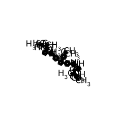 COC(=O)N[C@H](C(=O)N1CCC[C@H]1c1cc(-c2ccc([C@H]3CC[C@H](c4ccc(-c5cc([C@@H]6CCCN6C(=O)[C@@H](NC(=O)OC)C(C)C)[nH]n5)cc4)N3c3ccc(C(C)(C)C)cc3)cc2)n[nH]1)C(C)C